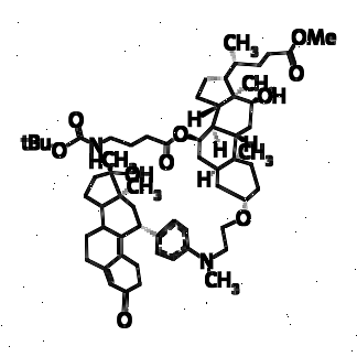 COC(=O)CC[C@@H](C)[C@H]1CC[C@H]2[C@@H]3[C@H](OC(=O)CCCNC(=O)OC(C)(C)C)C[C@@H]4C[C@@H](OCCN(C)c5ccc([C@H]6C[C@@]7(C)C(CC[C@]7(C)O)C7CCC8=CC(=O)CCC8=C76)cc5)CC[C@]4(C)[C@H]3C[C@H](O)[C@]12C